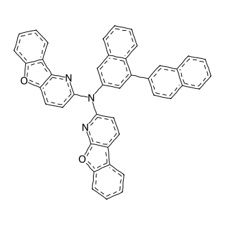 c1ccc2cc(-c3cc(N(c4ccc5c(n4)oc4ccccc45)c4ccc5oc6ccccc6c5n4)cc4ccccc34)ccc2c1